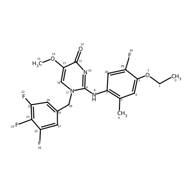 CCOc1cc(C)c(Nc2nc(=O)c(OC)cn2Cc2cc(F)c(F)c(F)c2)cc1F